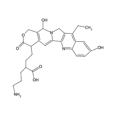 CCc1c2c(nc3ccc(O)cc13)C1=CC3=C(COC(=O)C3CCC(CCCN)C(=O)O)C(O)N1C2